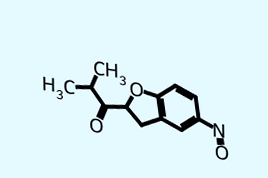 CC(C)C(=O)C1Cc2cc(N=O)ccc2O1